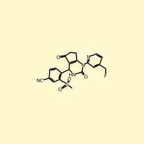 CS(=O)(=O)c1cc(C#N)ccc1C1NC(=O)N(c2cc(CF)ccn2)C2=C1C(=O)CC2